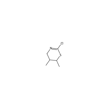 CC1CN=C(Cl)SC1C